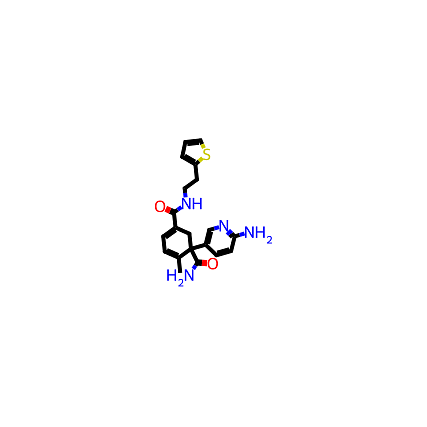 CC1=CC=C(C(=O)NCCc2cccs2)CC1(C(N)=O)c1ccc(N)nc1